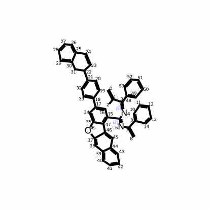 C=C(C)/C(=N\C(=N/C(=C)c1ccccc1)c1cc(-c2ccc(C3C=Cc4ccccc4C3)cc2)cc2oc3cc4ccccc4cc3c12)c1ccccc1